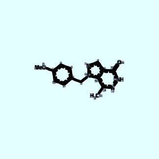 COc1ccc(Cn2ncc3c(=O)[nH]nc(C)c32)cc1